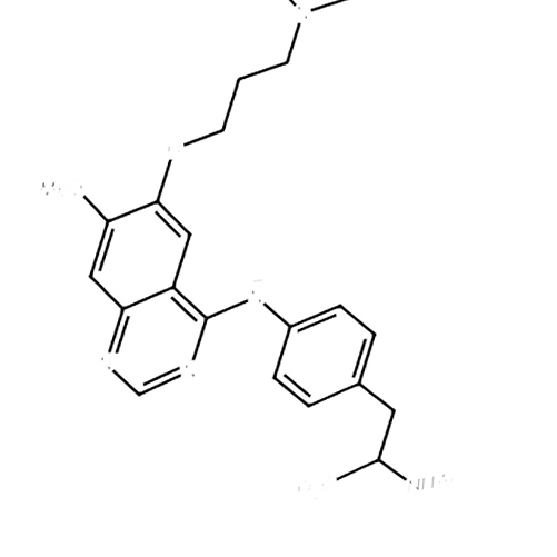 COc1cc2ncnc(Nc3ccc(CC(NC(C)=O)C(=O)O)cc3)c2cc1OCCCN(C)C